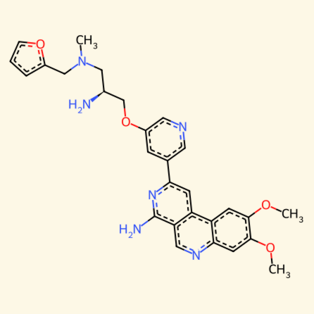 COc1cc2ncc3c(N)nc(-c4cncc(OC[C@@H](N)CN(C)Cc5ccco5)c4)cc3c2cc1OC